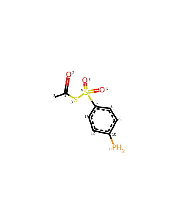 CC(=O)SS(=O)(=O)c1ccc(P)cc1